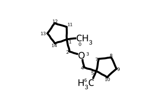 CC1(COCC2(C)CCCC2)CCCC1